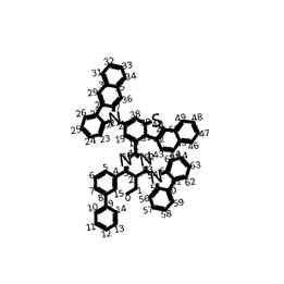 CCC1C(c2cccc(-c3ccccc3)c2)=NC(C2=CC(n3c4ccccc4c4cc5ccccc5cc43)=CC3Sc4c(ccc5ccccc45)C23)=NC1n1c2ccccc2c2ccccc21